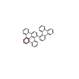 c1ccc(-c2ccccc2-c2c(-c3cccc4c5ccccc5c5ccccc5c34)ccc3c4ccccc4c4ccccc4c23)cc1